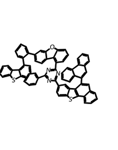 c1ccc(-c2nc(-c3ccc4sc5c6ccccc6cc(-c6cc7ccccc7c7ccccc67)c5c4c3)nc(-c3cccc4oc5cc(-c6ccccc6-c6cccc7sc8ccccc8c67)ccc5c34)n2)cc1